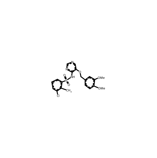 COc1ccc(COc2cncnc2NS(=O)(=O)c2cccc(Cl)c2C)cc1OC